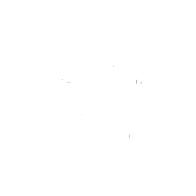 O=C(O)N1CCCC1C(O)c1nc2ccccc2s1